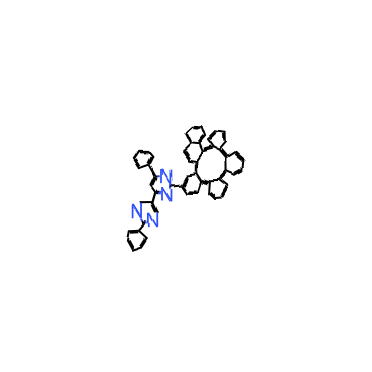 c1ccc(-c2cc(-c3cnc(-c4ccccc4)nc3)nc(-c3ccc4c5ccccc5c5ccccc5c5ccccc5c5c6ccccc6ccc5c4c3)n2)cc1